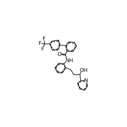 O=C(Nc1ccccc1CCC(O)c1ccccn1)c1ccccc1-c1ccc(C(F)(F)F)cc1